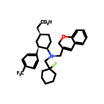 O=C(O)C[C@@H]1CC[C@@H](N(CC2=Cc3ccccc3OC2)CC2(F)CCCCC2)[C@H](c2ccc(C(F)(F)F)cc2)C1